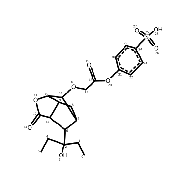 CCC(O)(CC)C1C2CC3C(OC(=O)C31)C2OCC(=O)Oc1ccc(S(=O)(=O)O)cc1